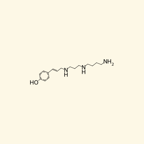 NCCCCNCCCNCC=Cc1ccc(O)cc1